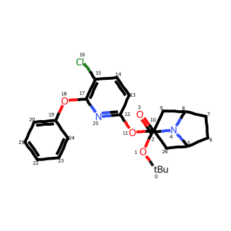 CC(C)(C)OC(=O)N1C2CCC1CC(Oc1ccc(Cl)c(Oc3ccccc3)n1)C2